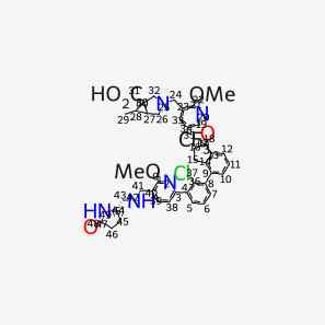 COc1nc(-c2cccc(-c3cccc4c3CC[C@@H]4Oc3nc(OC)c(CN4CC5C(C)[C@]5(C(=O)O)C4)cc3C(F)(F)F)c2Cl)ccc1CNC[C@@H]1CCC(=O)N1